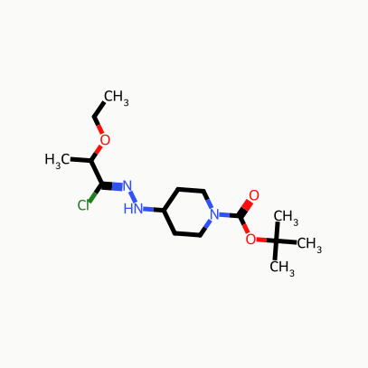 CCOC(C)/C(Cl)=N/NC1CCN(C(=O)OC(C)(C)C)CC1